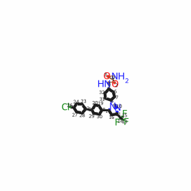 NS(=O)(=O)Nc1ccc(-n2nc(C(F)(F)F)cc2-c2ccc(-c3ccc(Cl)cc3)cc2)cc1